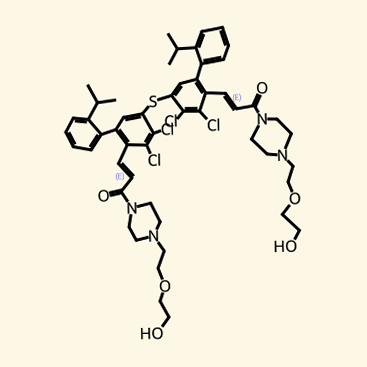 CC(C)c1ccccc1-c1cc(Sc2cc(-c3ccccc3C(C)C)c(/C=C/C(=O)N3CCN(CCOCCO)CC3)c(Cl)c2Cl)c(Cl)c(Cl)c1/C=C/C(=O)N1CCN(CCOCCO)CC1